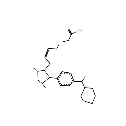 O=C(O)COC/C=C\CC1C(Cl)CC(O)C1c1ccc(C(O)C2CCCCC2)cc1